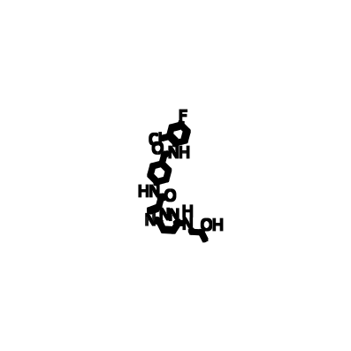 CC(O)CNc1ccc2ncc(C(=O)NC3CCC(C(=O)Nc4ccc(F)cc4Cl)CC3)n2n1